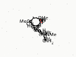 CN[C@H](C(=O)N[C@@H](CCCNC(N)=O)C(=O)Nc1ccc(C(=O)N(C)[C@@H](C)C(=O)O[C@H]2CC(O)N(C)c3cc(cc(OC)c3Cl)C/C(C)=C/C=C/[C@@H](OC)[C@@]3(O)C[C@H](OC(=O)N3)[C@@H](C)[C@@H]3O[C@@]23C)cc1)C(C)C